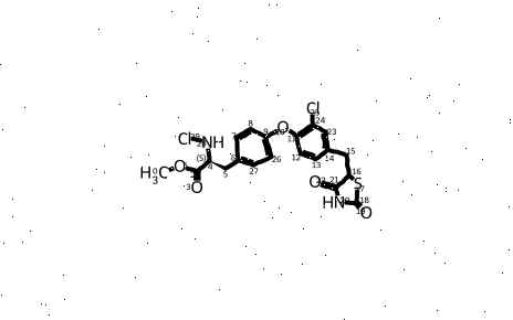 COC(=O)[C@H](Cc1ccc(Oc2ccc(CC3SC(=O)NC3=O)cc2Cl)cc1)NCl